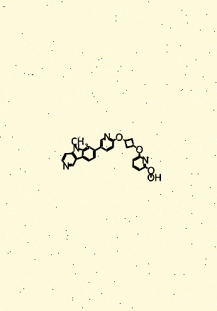 Cn1c2ccncc2c2ccc(-c3ccc(O[C@H]4C[C@H](Oc5cccc(OO)n5)C4)nc3)cc21